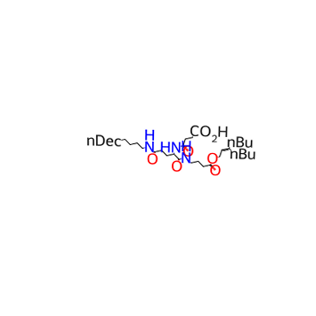 CCCCCCCCCCCCCCNC(=O)CCC(NC(=O)CCC(=O)O)C(=O)NCCCC(=O)OCC=C(CCCC)CCCC